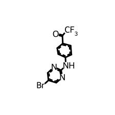 O=C(c1ccc(Nc2ncc(Br)cn2)cc1)C(F)(F)F